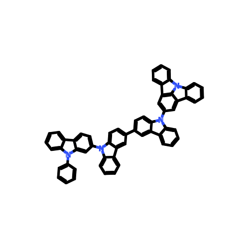 c1ccc(-n2c3ccccc3c3ccc(-n4c5ccccc5c5cc(-c6ccc7c(c6)c6ccccc6n7-c6cc7c8ccccc8n8c9ccccc9c(c6)c78)ccc54)cc32)cc1